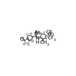 CCc1cc(C(F)(C(F)(F)F)C(F)(F)F)cc(C)c1NC(=O)c1ccc2c(c1)CCC2=O